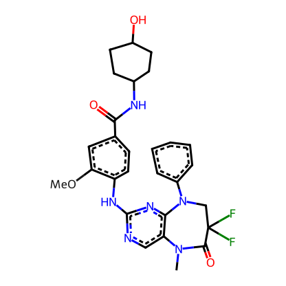 COc1cc(C(=O)NC2CCC(O)CC2)ccc1Nc1ncc2c(n1)N(c1ccccc1)CC(F)(F)C(=O)N2C